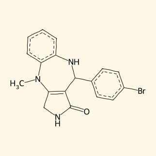 CN1C2=C(C(=O)NC2)C(c2ccc(Br)cc2)Nc2ccccc21